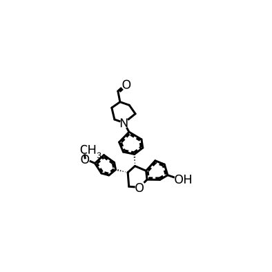 COc1ccc([C@H]2COc3cc(O)ccc3[C@H]2c2ccc(N3CCC(C=O)CC3)cc2)cc1